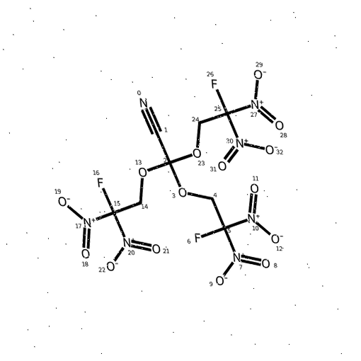 N#CC(OCC(F)([N+](=O)[O-])[N+](=O)[O-])(OCC(F)([N+](=O)[O-])[N+](=O)[O-])OCC(F)([N+](=O)[O-])[N+](=O)[O-]